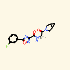 C[C@H](NC(=O)c1noc(-c2cccc(F)c2)n1)C(=O)N1CC2CC2C1